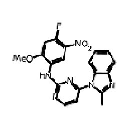 COc1cc(F)c([N+](=O)[O-])cc1Nc1nccc(-n2c(C)nc3ccccc32)n1